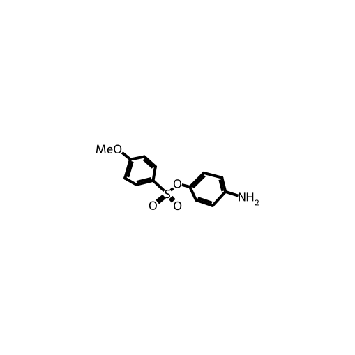 COc1ccc(S(=O)(=O)Oc2ccc(N)cc2)cc1